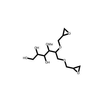 COC(C(COCC1CO1)OCC1CO1)C(O)C(O)CO